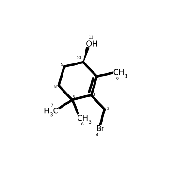 CC1=C(CBr)C(C)(C)CC[C@H]1O